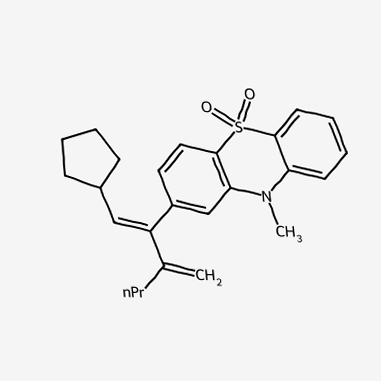 C=C(CCC)/C(=C/C1CCCC1)c1ccc2c(c1)N(C)c1ccccc1S2(=O)=O